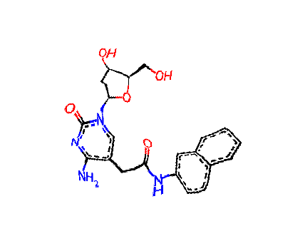 Nc1nc(=O)n([C@H]2CC(O)[C@@H](CO)O2)cc1CC(=O)Nc1ccc2ccccc2c1